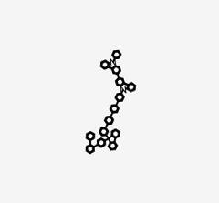 c1ccc(-c2ccccc2-c2ccc(C3(c4cccc(-c5ccc(-c6ccc(-c7ccc(-n8c9ccccc9c9cc(-c%10ccc%11c(c%10)c%10ccccc%10n%11-c%10ccccc%10)ccc98)cc7)cc6)cc5)c4)c4ccccc4-c4ccccc43)cc2)cc1